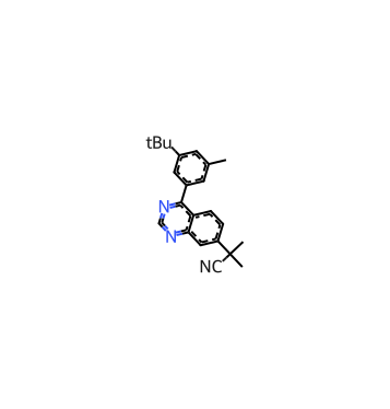 Cc1cc(-c2ncnc3cc(C(C)(C)C#N)ccc23)cc(C(C)(C)C)c1